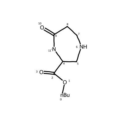 CCCCOC(=O)C1CNCCC(=O)[N]1